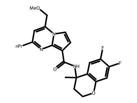 CCCc1cc(COC)n2ccc(C(=O)NC3(C)CCOc4cc(F)c(F)cc43)c2n1